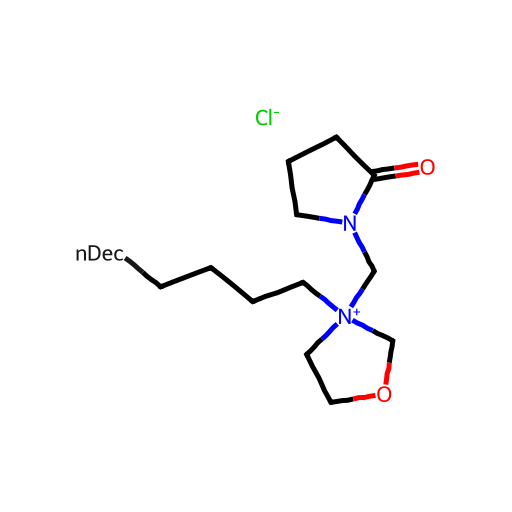 CCCCCCCCCCCCCC[N+]1(CN2CCCC2=O)CCOC1.[Cl-]